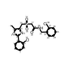 Cc1oc(-c2ccccc2Cl)nc1CS(=O)(=O)CC(=O)NCc1ccccc1Cl